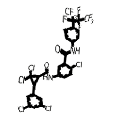 O=C(Nc1ccc(C(F)(C(F)(F)F)C(F)(F)C(F)(F)F)cc1)c1cc(NC(=O)C2C(c3cc(Cl)cc(Cl)c3)C2(Cl)Cl)ccc1Cl